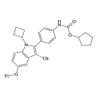 CCOc1ccc2c(c1)c(C#N)c(-c1ccc(NC(=O)OC3CCCC3)cc1)n2C1CCC1